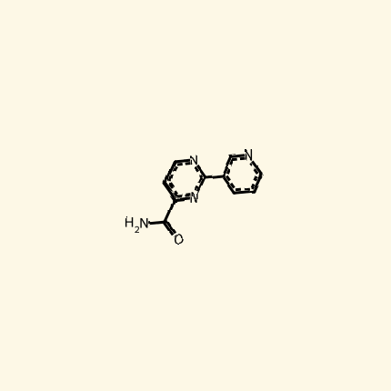 NC(=O)c1ccnc(-c2cccnc2)n1